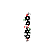 CCOc1ccc(C2CCC(OC(=O)c3ccc(C4CCC(OCC)CC4)c(F)c3F)CC2)c(F)c1